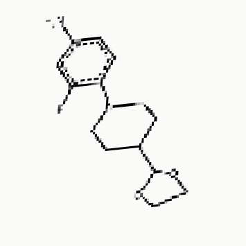 Nc1ccc(N2CCC(C3OCCO3)CC2)c(F)c1